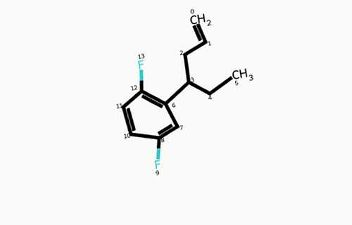 C=CCC(CC)c1cc(F)ccc1F